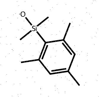 Cc1cc(C)c([Si](C)(C)[O])c(C)c1